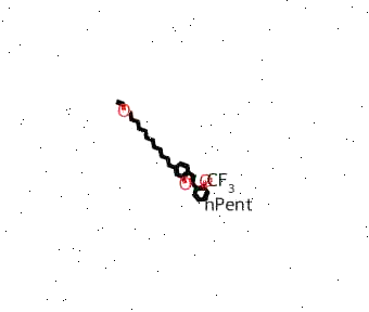 C=COCCCCCCCCCCCCc1ccc2cc(-c3ccc(CCCCC)cc3OC(F)(F)F)oc2c1